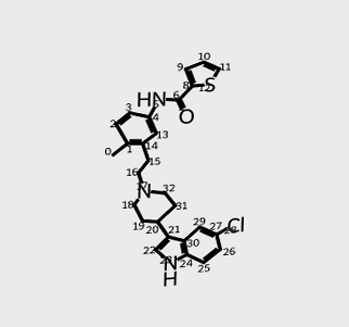 Cc1ccc(NC(=O)c2cccs2)cc1CCN1CCC(c2c[nH]c3ccc(Cl)cc23)CC1